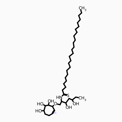 CCCCCCCCCCCCCCCCCCCCCCCCCC(=S)NC(COC1/C=C\CCC(O)C(O)C1O)C(O)CC(O)CC